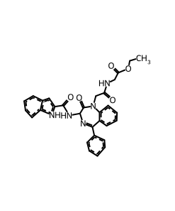 CCOC(=O)CNC(=O)CN1C(=O)C(NC(=O)c2cc3ccccc3[nH]2)N=C(c2ccccc2)c2ccccc21